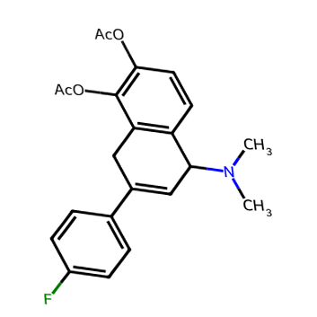 CC(=O)Oc1ccc2c(c1OC(C)=O)CC(c1ccc(F)cc1)=CC2N(C)C